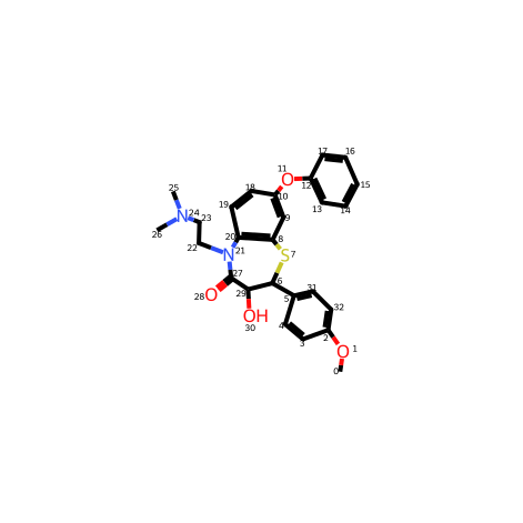 COc1ccc(C2Sc3cc(Oc4ccccc4)ccc3N(CCN(C)C)C(=O)C2O)cc1